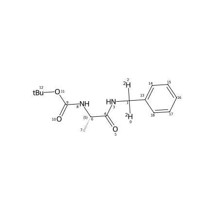 [2H]C([2H])(NC(=O)[C@H](C)NC(=O)OC(C)(C)C)c1ccccc1